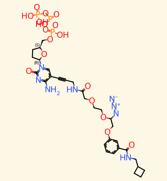 [N-]=[N+]=NC(COc1cccc(C(=O)NCC2CCC2)c1)OCCOCC(=O)NCC#Cc1cn([C@H]2CC[C@@H](COP(=O)(O)OP(=O)(O)OP(=O)(O)O)O2)c(=O)nc1N